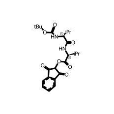 CC(C)[C@H](NC(=O)OC(C)(C)C)C(=O)N[C@H](C(=O)OC1C(=O)c2ccccc2C1=O)C(C)C